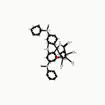 CN(c1ccccc1)c1ccc2c(c1)Oc1cc(N(C)c3ccccc3)ccc1C21OC(=O)c2c(Cl)c(Cl)c(Cl)c(Cl)c21